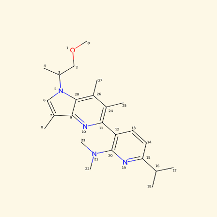 COCC(C)n1cc(C)c2nc(-c3ccc(C(C)C)nc3N(C)C)c(C)c(C)c21